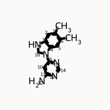 Cc1cc2c(cc1C)N(c1cc(N)ncn1)CN2